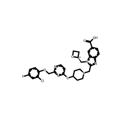 O=C(O)c1ccc2nc(CN3CCC(Oc4ccnc(COc5ccc(F)cc5Cl)n4)CC3)n(C[C@@H]3CCO3)c2c1